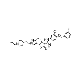 CCCN1CCC(CCn2cc3c(n2)CCc2c-3sc3ncnc(Nc4ccc(OCc5cccc(F)c5)c(Cl)c4)c23)CC1